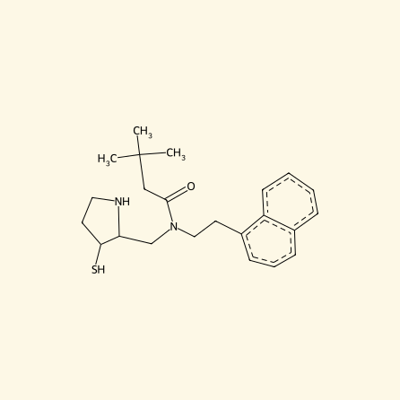 CC(C)(C)CC(=O)N(CCc1cccc2ccccc12)CC1NCCC1S